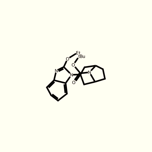 CCOc1nc2ccccc2n1C1CC2CCC(C1)N2C(=O)OC(C)(C)C